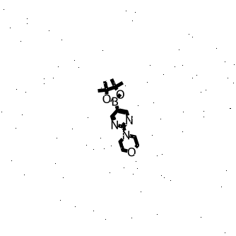 CC1(C)OB(c2cnc(N3CCOCC3)nc2)OC1(C)C